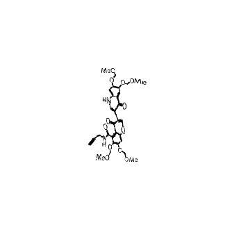 C#CCNC(=O)c1c(OCOC)c(OCOC)cc2occ(-c3c[nH]c4cc(OCOC)c(OCOC)cc4c3=O)c(=O)c12